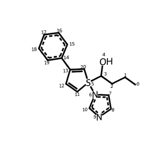 CCCC(O)S1(n2ccnc2)C=CC(c2ccccc2)=C1